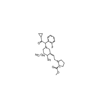 COC(=O)[C@@H]1CCCN1CC=C1CN(C(C(=O)C2CC2)c2ccccc2F)CCC1S.Cl.Cl